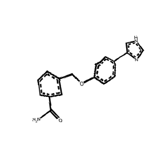 NC(=O)c1cccc(COc2ccc(-c3c[nH]cn3)cc2)c1